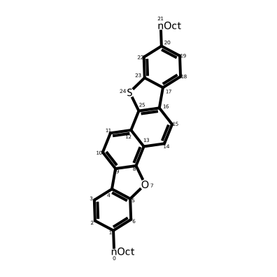 CCCCCCCCc1ccc2c(c1)oc1c2ccc2c1ccc1c3ccc(CCCCCCCC)cc3sc12